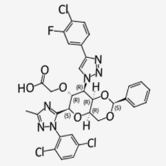 Cc1nc([C@@H]2O[C@@H]3CO[C@H](c4ccccc4)O[C@@H]3[C@H](n3cc(-c4ccc(Cl)c(F)c4)nn3)[C@H]2OCC(=O)O)n(-c2cc(Cl)ccc2Cl)n1